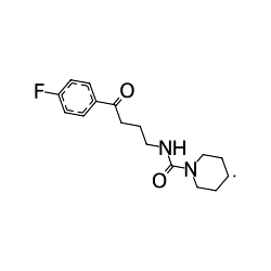 O=C(CCCNC(=O)N1CC[CH]CC1)c1ccc(F)cc1